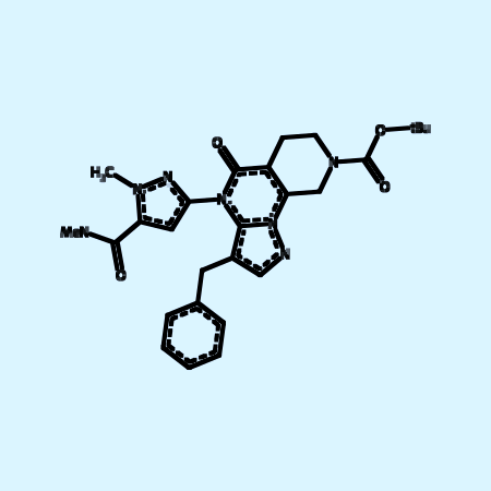 CNC(=O)c1cc(-n2c(=O)c3c(n4ncc(Cc5ccccc5)c24)CN(C(=O)OC(C)(C)C)CC3)nn1C